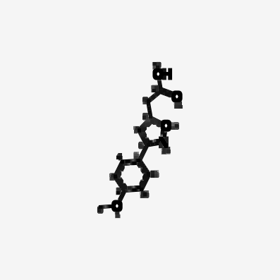 COc1ccc(-c2cc(CC(=O)O)on2)cc1